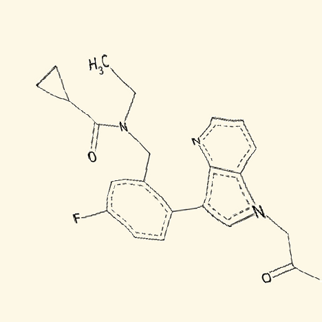 CCN(Cc1cc(F)ccc1-c1cn(CC(=O)O)c2cccnc12)C(=O)C1CC1